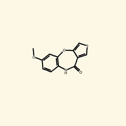 COc1ccc2c(c1)Oc1cscc1C(=O)N2